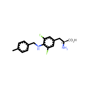 Cc1ccc(CNc2c(F)cc(C[C@H](N)C(=O)O)cc2F)cc1